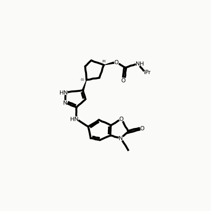 CC(C)NC(=O)O[C@@H]1CC[C@H](c2cc(Nc3ccc4c(c3)oc(=O)n4C)n[nH]2)C1